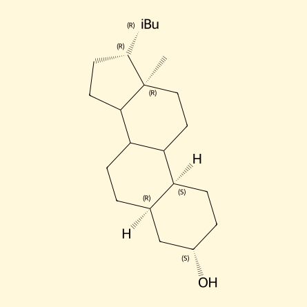 CC[C@@H](C)[C@H]1CCC2C3CC[C@@H]4C[C@@H](O)CC[C@@H]4C3CC[C@@]21C